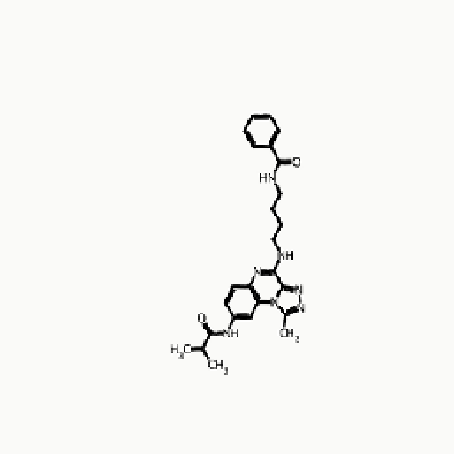 Cc1nnc2c(NCCCCNC(=O)c3ccccc3)nc3ccc(NC(=O)C(C)C)cc3n12